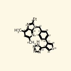 CCc1nc2c(C)cc(C)nc2n1Cc1ccc(-c2cscc2-c2nnn[nH]2)cc1